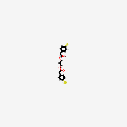 O=C(Cc1ccc(S)cc1)OCCCOC(=O)Cc1ccc(S)cc1